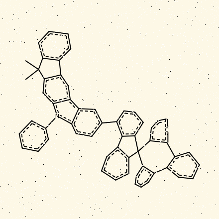 CC1(C)c2ccccc2-c2cc3c4cc(-c5cccc6c5-c5ccccc5C65c6ccccc6-c6ccccc6-c6ccccc65)ccc4n(-c4ccccc4)c3cc21